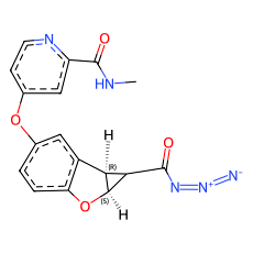 CNC(=O)c1cc(Oc2ccc3c(c2)[C@H]2C(C(=O)N=[N+]=[N-])[C@H]2O3)ccn1